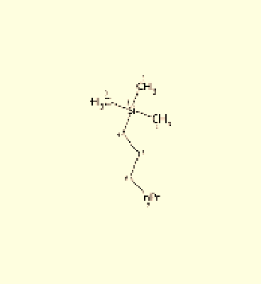 [CH2][Si](C)(C)CCCCCC